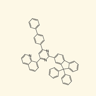 c1ccc(-c2ccc(-c3cc(-c4cccc5cccnc45)nc(-c4ccc5c(c4)C(c4ccccc4)(c4ccccc4)c4ccccc4-5)n3)cc2)cc1